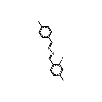 Cc1ccc(C=NN=Cc2ccc(C)cc2F)cc1